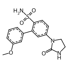 COc1cccc(-c2cc(N3CCNC3=O)ccc2S(N)(=O)=O)c1